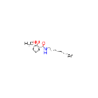 CC(=O)CCCCCCCNC(=O)c1cccc(C)c1O